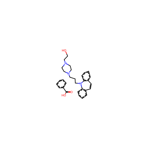 O=C(O)c1ccccc1.OCCN1CCN(CCCN2c3ccccc3C=Cc3ccccc32)CC1